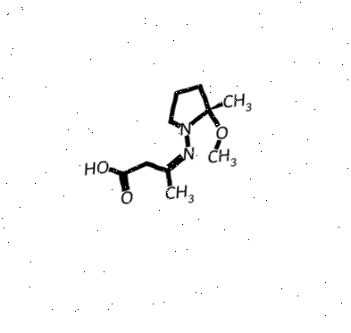 CO[C@@]1(C)CCCN1N=C(C)CC(=O)O